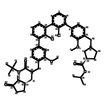 COc1cc(-c2nccc(-c3cccc(-c4ccc(CN(C[C@@H]5CCC(=O)N5)C(=O)OC(C)(C)C)c(OC)n4)c3Cl)c2Cl)ccc1CN1CC[C@H](C(=O)OC(C)C)C1